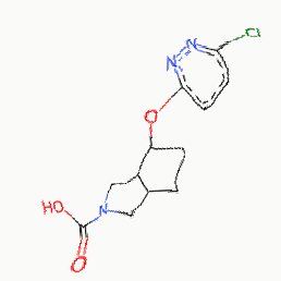 O=C(O)N1CC2CCC(Oc3ccc(Cl)nn3)C2C1